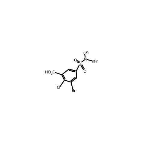 CCCN(CCC)S(=O)(=O)c1cc(Br)c(Cl)c(C(=O)O)c1